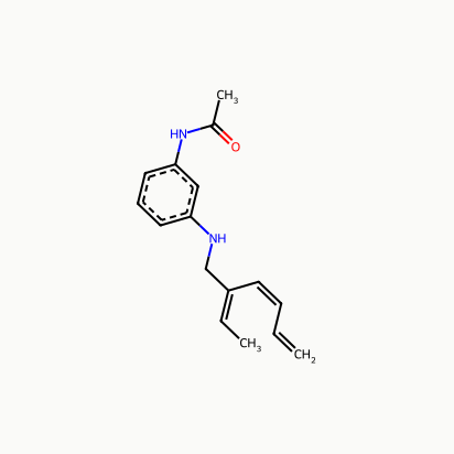 C=C/C=C\C(=C/C)CNc1cccc(NC(C)=O)c1